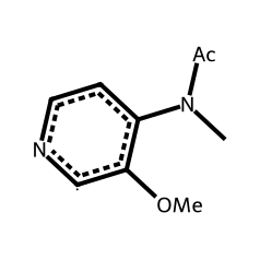 COc1[c]nccc1N(C)C(C)=O